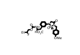 CCC(F)COC(=O)NC(Cc1cccc(N2CC(=O)N(Cc3ccc(OC)cc3)S2(=O)=O)c1)C(=O)O